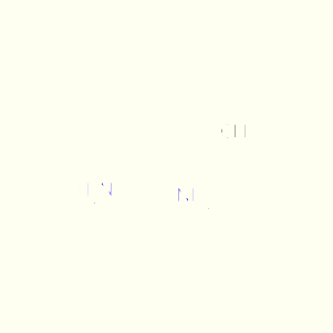 CCC=C(N)CCN